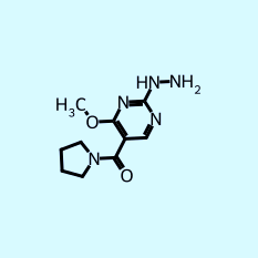 COc1nc(NN)ncc1C(=O)N1CCCC1